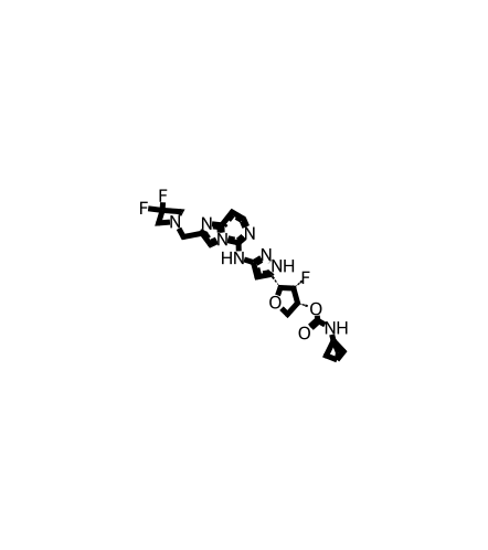 O=C(NC12CC(C1)C2)O[C@@H]1CO[C@H](c2cc(Nc3nccc4nc(CN5CC(F)(F)C5)cn34)n[nH]2)[C@@H]1F